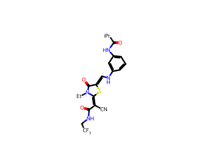 CCn1c(=C(C#N)C(=O)NCC(F)(F)F)sc(=CNc2cccc(NC(=O)C(C)C)c2)c1=O